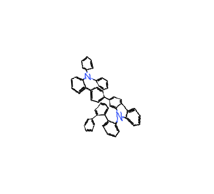 c1ccc(-c2ccccc2-c2ccccc2-n2c3ccccc3c3ccc(-c4ccc(-c5ccccc5N(c5ccccc5)c5ccccc5)cc4)cc32)cc1